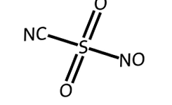 N#CS(=O)(=O)N=O